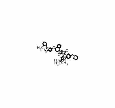 C[C@H]1CCCCN1c1nnc2ccc(O[C@@H]3CCC(NC(=O)N(OC=O)c4cc(C(C)(C)C)nn4-c4ccc(CN5CCCCC5)cc4)c4ccccc43)cn12